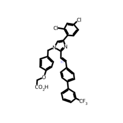 O=C(O)COc1ccc(Cn2cc(-c3ccc(Cl)cc3Cl)nc2/C=C/c2ccc(-c3cccc(C(F)(F)F)c3)cc2)cc1